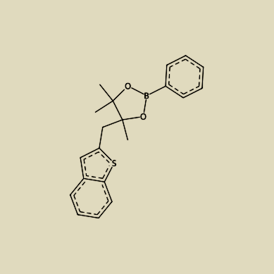 CC1(C)OB(c2ccccc2)OC1(C)Cc1cc2ccccc2s1